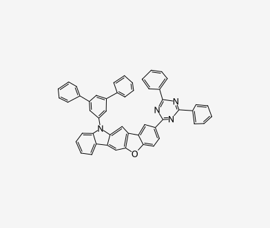 c1ccc(-c2cc(-c3ccccc3)cc(-n3c4ccccc4c4cc5oc6ccc(-c7nc(-c8ccccc8)nc(-c8ccccc8)n7)cc6c5cc43)c2)cc1